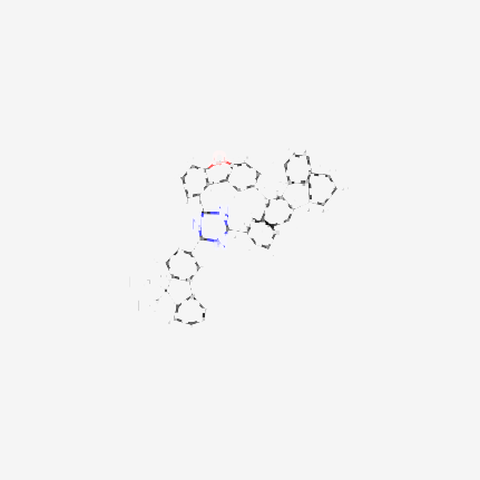 CC1(C)c2ccccc2-c2cc(-c3nc(-c4ccccc4)nc(-c4cccc5oc6ccc(-c7cccc8c7-c7cccc9cccc-8c79)cc6c45)n3)ccc21